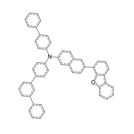 c1ccc(-c2ccc(N(c3ccc(-c4cccc(-c5ccccc5)c4)cc3)c3ccc4cc(-c5cccc6c5oc5ccccc56)ccc4c3)cc2)cc1